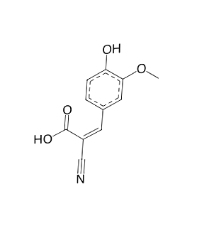 COc1cc(C=C(C#N)C(=O)O)ccc1O